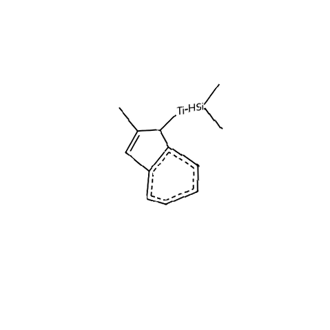 CC1=Cc2ccccc2[CH]1[Ti][SiH](C)C